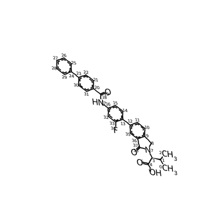 CC(C)[C@@H](C(=O)O)N1Cc2ccc(-c3ccc(NC(=O)c4ccc(-c5ccccc5)cc4)cc3F)cc2C1=O